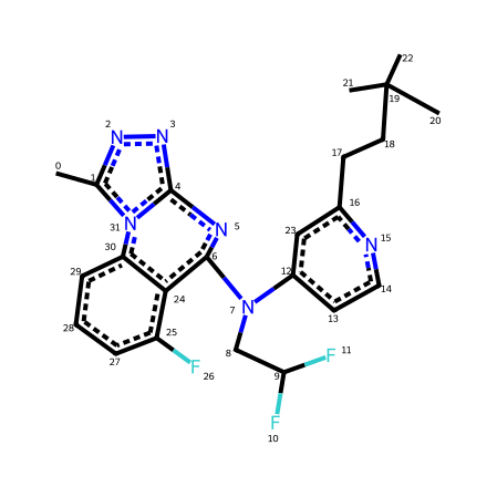 Cc1nnc2nc(N(CC(F)F)c3ccnc(CCC(C)(C)C)c3)c3c(F)cccc3n12